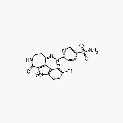 NS(=O)(=O)c1ccc(N/N=C2/CCNC(=O)c3[nH]c4ccc(Cl)cc4c32)nc1